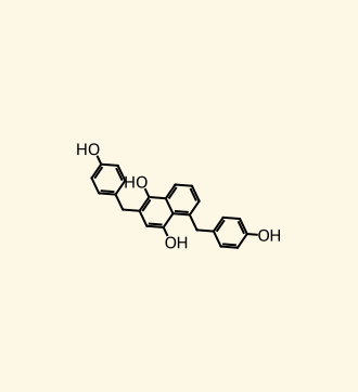 Oc1ccc(Cc2cc(O)c3c(Cc4ccc(O)cc4)cccc3c2O)cc1